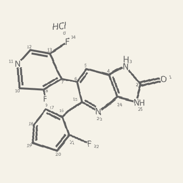 Cl.O=c1[nH]c2cc(-c3c(F)cncc3F)c(-c3ccccc3F)nc2[nH]1